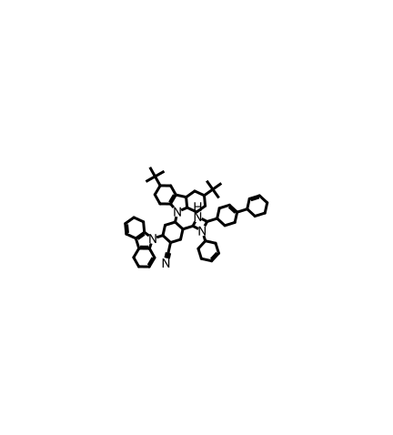 CC(C)(C)C1CCC2=C(C1)C1CC(C(C)(C)C)CCC1N2C1CC(n2c3c(c4c2CCC=C4)CCC=C3)C(C#N)CC1C1NC(C2CC=C(C3C=CCCC3)CC2)N1C1CC=CCC1